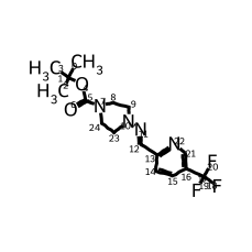 CC(C)(C)OC(=O)N1CCN(/N=C/c2ccc(C(F)(F)F)cn2)CC1